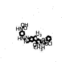 CCc1cc2nc(NC3CCC(NC(=O)O)CC3)ncc2cc1-c1ccc(NS(=O)(=O)c2ccccc2Cl)nc1OC